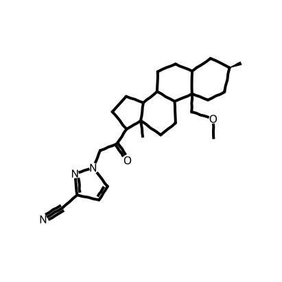 COCC12CC[C@H](C)CC1CCC1C3CCC(C(=O)Cn4ccc(C#N)n4)C3(C)CCC12